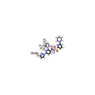 CC1CCN(c2nc(-n3ccc(OCC(C)(C)C)n3)ccc2C(=O)NS(=O)(=O)c2cccc(N3CCCCC3)n2)C1(C)C